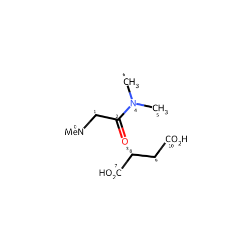 CNCC(=O)N(C)C.O=C(O)CCC(=O)O